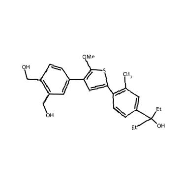 CCC(O)(CC)c1ccc(-c2cc(-c3ccc(CO)c(CO)c3)c(OC)s2)c(C)c1